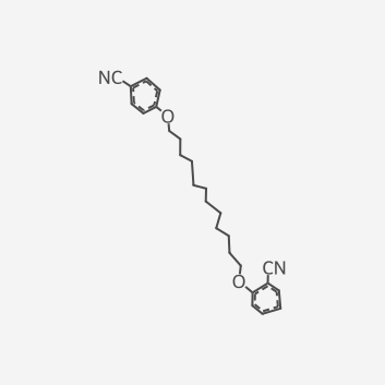 N#Cc1ccc(OCCCCCCCCCCCCOc2ccccc2C#N)cc1